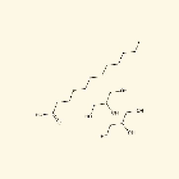 CCCCCCCCCCCC(=O)O.OCC(O)CO.OCC(O)CO